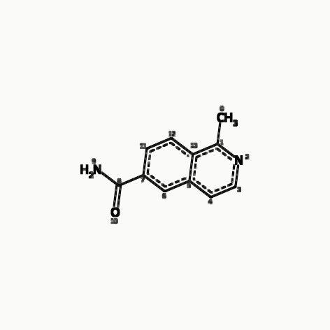 Cc1nccc2cc(C(N)=O)ccc12